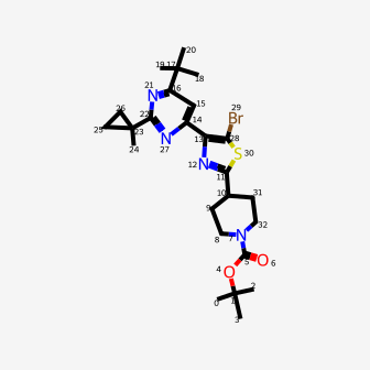 CC(C)(C)OC(=O)N1CCC(c2nc(-c3cc(C(C)(C)C)nc(C4(C)CC4)n3)c(Br)s2)CC1